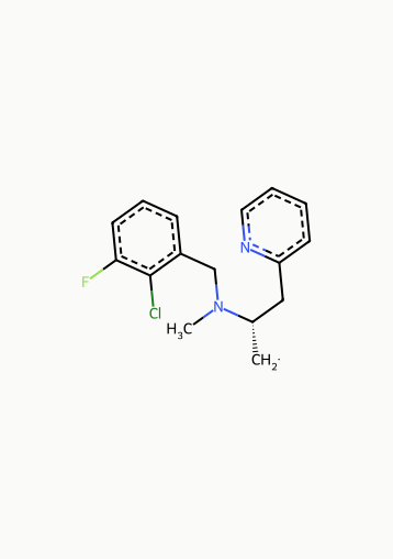 [CH2][C@@H](Cc1ccccn1)N(C)Cc1cccc(F)c1Cl